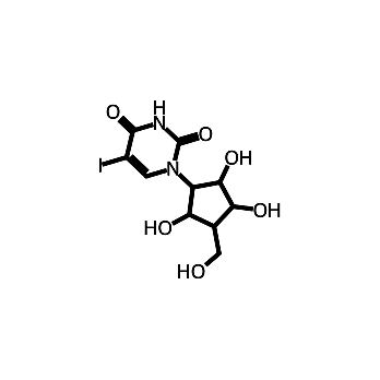 O=c1[nH]c(=O)n(C2C(O)C(O)C(CO)C2O)cc1I